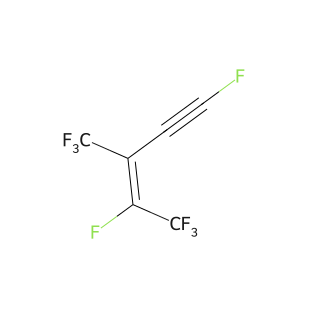 FC#CC(=C(F)C(F)(F)F)C(F)(F)F